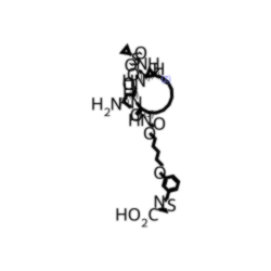 N[C@@H]1C[C@H]2C(=O)N[C@]3(C(=O)NS(=O)(=O)C4CC4)C[C@@H]3/C=C\CCCCC[C@H](NC(=O)OCCCCCOc3cccc(-c4nc(C(=O)O)cs4)c3)C(=O)N2C1